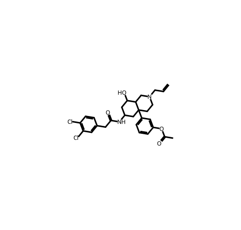 C=CCN1CCC2(c3cccc(OC(C)=O)c3)CC(NC(=O)Cc3ccc(Cl)c(Cl)c3)CC(O)C2C1